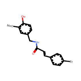 CCc1ccc(C=CC(=O)NCc2ccc(O)c(OC)c2)cc1